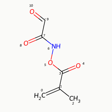 C=C(C)C(=O)ONC(=O)[C]=O